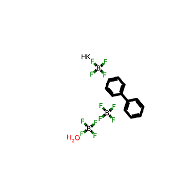 F[B-](F)(F)F.F[B-](F)(F)F.F[B-](F)(F)F.O.[KH].c1ccc(-c2ccccc2)cc1